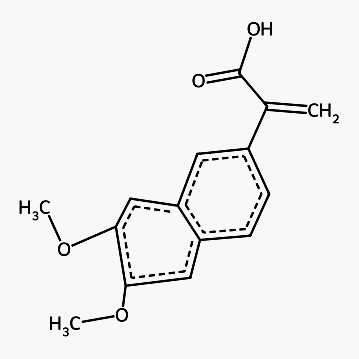 C=C(C(=O)O)c1ccc2cc(OC)c(OC)cc2c1